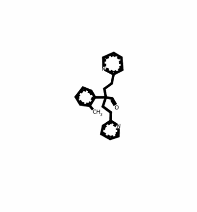 Cc1ccccc1C(C=O)(CCc1ccccn1)CCc1ccccn1